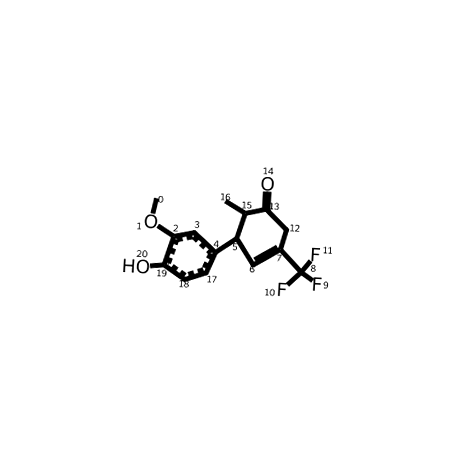 COc1cc(C2C=C(C(F)(F)F)CC(=O)C2C)ccc1O